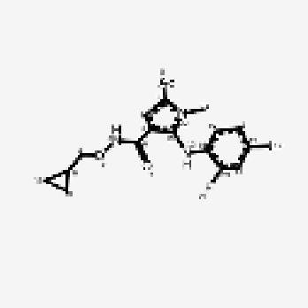 CC(=O)c1cc(C(=O)NOCC2CC2)c(Nc2ccc(I)cc2F)n1C